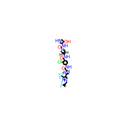 Cn1c(-c2cn(CC3CC3(F)F)nc2C(F)(F)F)cnc1C(=O)Nc1ccc(C(=O)NC2[C@H]3CN(C(=O)N[C@@H]4CNC[C@H]4O)C[C@@H]23)c(Cl)c1